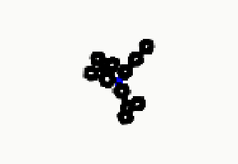 c1ccc(-c2ccc(-c3ccc(N(c4ccc(-c5cc6ccccc6c6ccccc56)cc4)c4ccc5c(c4)C(c4ccccc4)(c4ccccc4)c4ccccc4-5)cc3)cc2)cc1